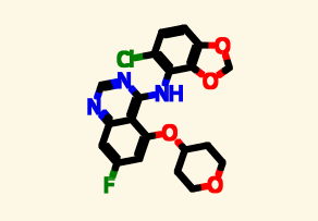 Fc1cc(OC2CCOCC2)c2c(Nc3c(Cl)ccc4c3OCO4)ncnc2c1